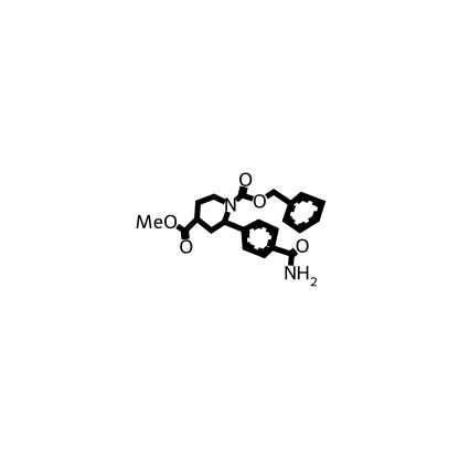 COC(=O)C1CCN(C(=O)OCc2ccccc2)C(c2ccc(C(N)=O)cc2)C1